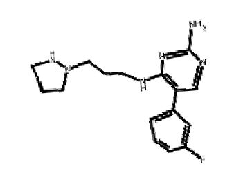 Nc1ncc(-c2cccc(F)c2)c(NCCCN2CCCN2)n1